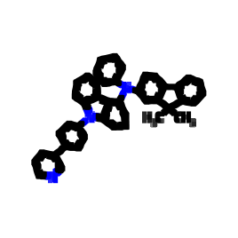 CC1(C)c2ccccc2-c2ccc(N(c3ccccc3)c3cccc4c3c3ccccc3n4-c3ccc(-c4cccnc4)cc3)cc21